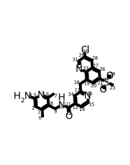 Cc1cc(N)nc(C)c1CNC(=O)c1ccnc(Cc2cc(S(C)(=O)=O)cc3cc(Cl)cnc23)c1